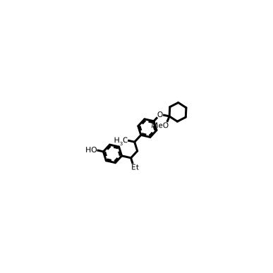 CCC(CC(C)c1ccc(OC2(OC)CCCCC2)cc1)c1ccc(O)cc1